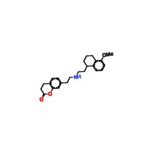 COc1cccc2c1CCCC2CCNCCc1ccc2c(c1)OC(=O)CC2